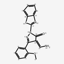 COc1ccccc1C1=NN(c2nc3ccccc3s2)C(=O)C1=CN